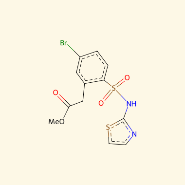 COC(=O)Cc1cc(Br)ccc1S(=O)(=O)Nc1nccs1